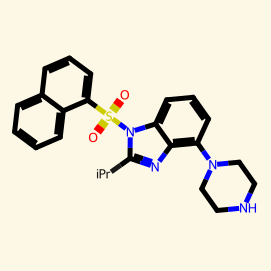 CC(C)c1nc2c(N3CCNCC3)cccc2n1S(=O)(=O)c1cccc2ccccc12